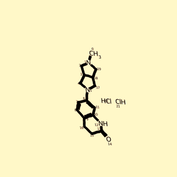 CN1CC2CN(c3ccc4c(c3)NC(=O)CC4)CC2C1.Cl.Cl